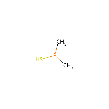 CP(C)S